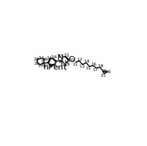 CCCCCC1(c2ccc(-c3ncc(OCCCCCCCCC4CC4)cn3)cc2)CCCCC1